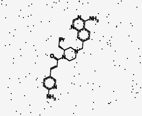 CC(C)C[C@H]1CN(Cc2ccc3c(N)ncnc3c2)CCN1C(=O)C=Cc1ccc(N)nc1